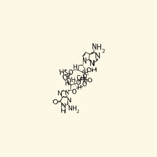 CO[C@H]1[C@H]2O[P@](=O)(S)OC[C@H]3C[C@@H](n4ccc5c(N)ncnc54)[C@H](O)[C@@H]3O[PH](=O)OC[C@H]1O[C@H]2n1cnc2c(=O)[nH]c(N)nc21